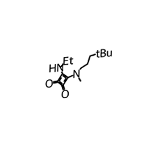 CCNc1c(N(C)CCCC(C)(C)C)c(=O)c1=O